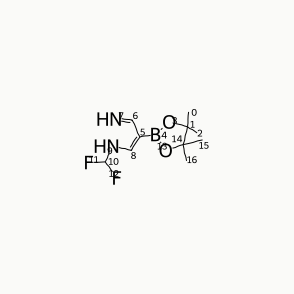 CC1(C)OB(/C(C=N)=C/NC(F)F)OC1(C)C